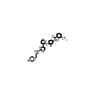 Cc1cc(NC(=O)c2cccc(C(F)(F)F)c2)ccc1Oc1ncccc1-c1ccnc(NCCCN2CCN(C)CC2)n1